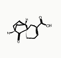 O=C(O)C1=CCC[C@]2(C1)C(=O)[C@@H]1CC[C@H]2C1